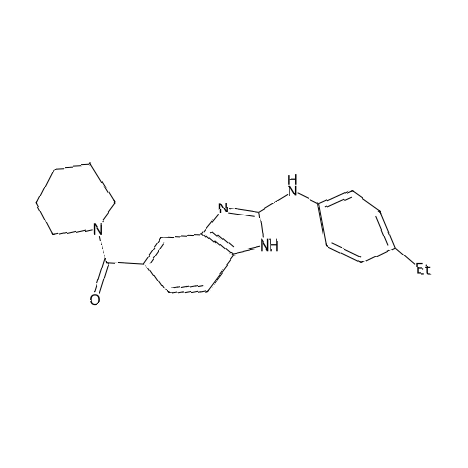 CCc1ccc(Nc2nc3cc(C(=O)N4CCCCC4)ccc3[nH]2)cc1